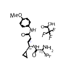 COc1ccc(NC(=O)/C=C/[C@@H](NC(=O)[C@@H](N)C(C)C)C2CC2)cc1.O=C(O)C(F)(F)F